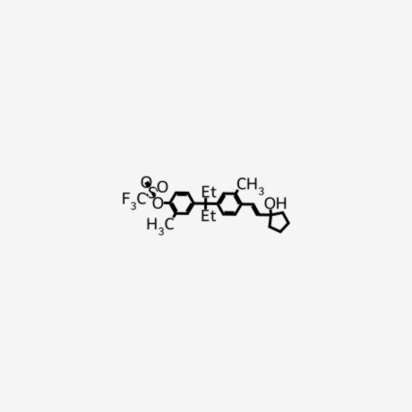 CCC(CC)(c1ccc(C=CC2(O)CCCC2)c(C)c1)c1ccc(OS(=O)(=O)C(F)(F)F)c(C)c1